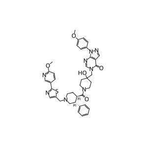 COc1ccc(-n2ncc3c(=O)n(CC4(O)CCN(C(=O)[C@@H]5CCN(Cc6cnc(-c7ccc(OC)nc7)s6)C[C@H]5c5ccccc5)CC4)cnc32)cc1